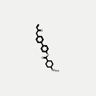 C=CC(=O)Cc1ccc(-c2ccc(OC(=O)C3CCC(CCCCC)CC3)cc2)cc1